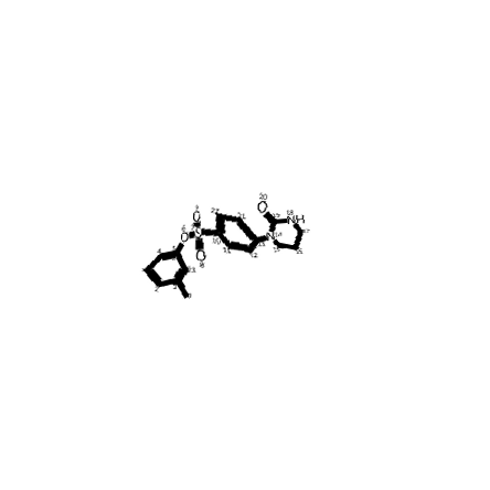 Cc1cccc(OS(=O)(=O)c2ccc(N3CCCNC3=O)cc2)c1